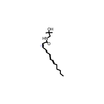 CCCCCC=CC=CC=C/C=C\C(=O)NCC(C)(C)O